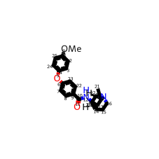 COc1ccc(Oc2ccc(C(=O)N[C@@H]3C4CCN(CC4)[C@H]3C)cc2)cc1